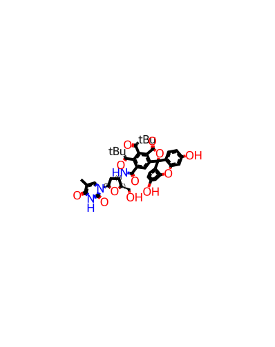 Cc1cn([C@H]2C[C@H](NC(=O)c3cc4c(c(C(=O)C(C)(C)C)c3C(=O)C(C)(C)C)C(=O)OC43c4ccc(O)cc4Oc4cc(O)ccc43)[C@@H](CO)O2)c(=O)[nH]c1=O